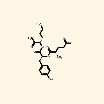 CCCC[C@H](NC(=O)[C@H](Cc1ccc(O)cc1)NC(=O)[C@@H](N)CCC(N)=O)C(N)=O